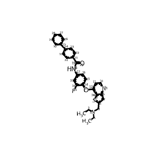 CCN(CC)Cc1cc2nccc(Oc3ccc(NC(=O)c4ccc(-c5ccccc5)cc4)cc3F)c2s1